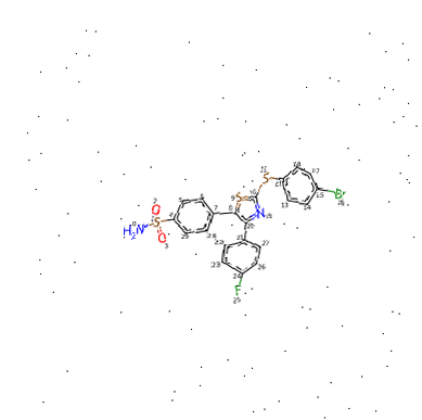 NS(=O)(=O)c1ccc(-c2sc(Sc3ccc(Br)cc3)nc2-c2ccc(F)cc2)cc1